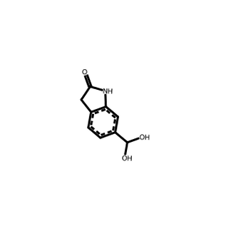 O=C1Cc2ccc(C(O)O)cc2N1